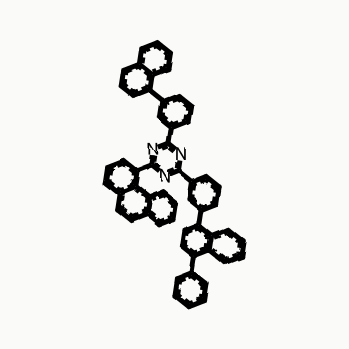 c1ccc(-c2ccc(-c3cccc(-c4nc(-c5cccc(-c6cccc7ccccc67)c5)nc(-c5cccc6ccc7ccccc7c56)n4)c3)c3ccccc23)cc1